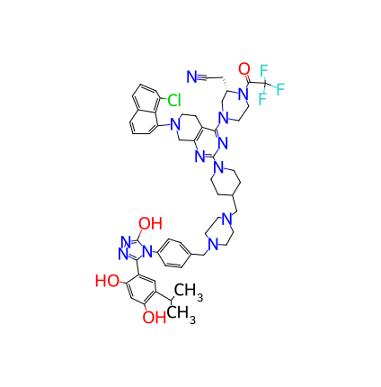 CC(C)c1cc(-c2nnc(O)n2-c2ccc(CN3CCN(CC4CCN(c5nc6c(c(N7CCN(C(=O)C(F)(F)F)[C@@H](CC#N)C7)n5)CCN(c5cccc7cccc(Cl)c57)C6)CC4)CC3)cc2)c(O)cc1O